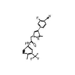 Cc1ccc(NC(=O)Cn2cc(-c3ccc(C#N)c(F)c3)c(C)n2)cc1C(F)(F)F